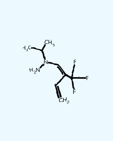 C=C/C(=C\N(N)C(C)C)C(F)(F)F